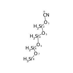 N#CO[SiH2]O[SiH2]O[SiH2]O[SiH3]